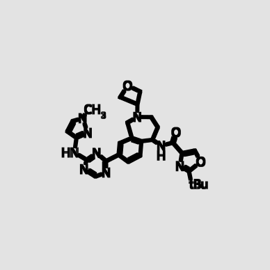 Cn1ccc(Nc2ncnc(-c3ccc4c(c3)CN(C3COC3)CCC4NC(=O)c3coc(C(C)(C)C)n3)n2)n1